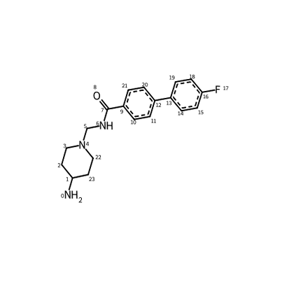 NC1CCN(CNC(=O)c2ccc(-c3ccc(F)cc3)cc2)CC1